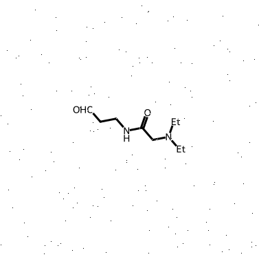 CCN(CC)CC(=O)NCCC=O